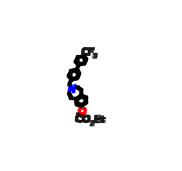 CCOC(=O)COc1ccc2c(c1)CCN(Cc1ccc(-c3ccc(C(F)(F)F)cc3)cc1)CC2